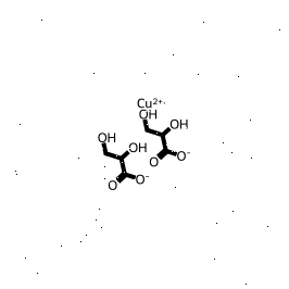 O=C([O-])C(O)CO.O=C([O-])C(O)CO.[Cu+2]